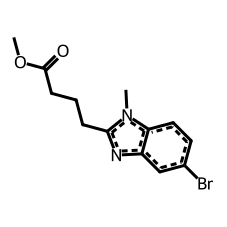 COC(=O)CCCc1nc2cc(Br)ccc2n1C